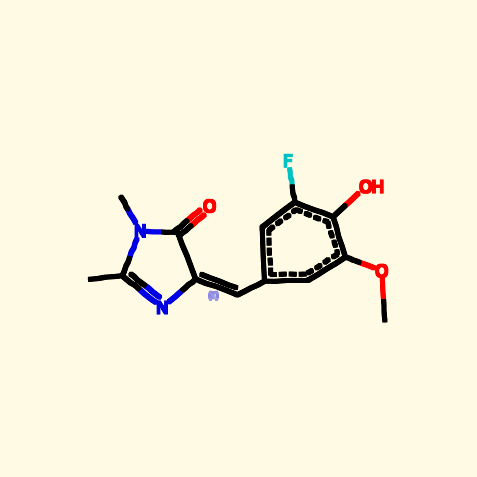 COc1cc(/C=C2/N=C(C)N(C)C2=O)cc(F)c1O